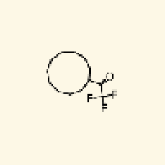 O=C(C1CCCCCCCCCC1)C(F)(F)F